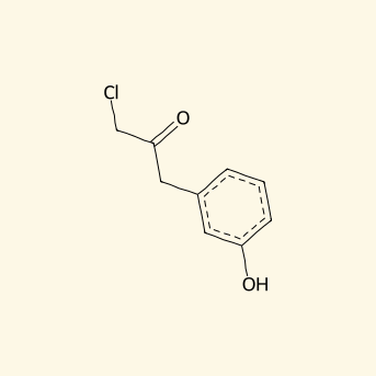 O=C(CCl)Cc1cccc(O)c1